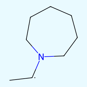 C[CH]N1CCCCCC1